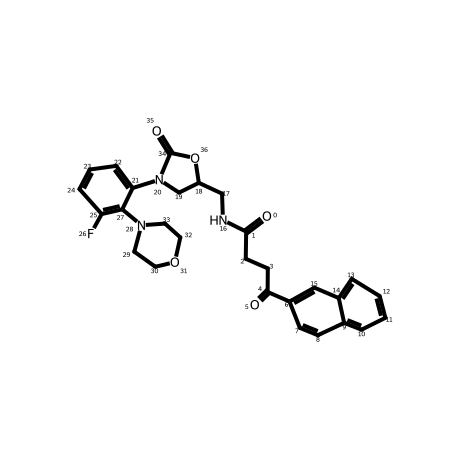 O=C(CCC(=O)c1ccc2ccccc2c1)NCC1CN(c2cccc(F)c2N2CCOCC2)C(=O)O1